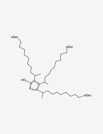 CCCCCCCCCCCCCCCCCCC(C)c1ccc(O)c(C(C)CCCCCCCCCCCCCCCCCC)c1C(C)CCCCCCCCCCCCCCCCCC